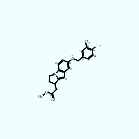 CC(C)(C)OC(=O)CC1CCn2c1cc1cc(OCc3ccc(Cl)c(C(F)(F)F)c3)ccc12